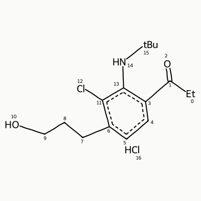 CCC(=O)c1ccc(CCCO)c(Cl)c1NC(C)(C)C.Cl